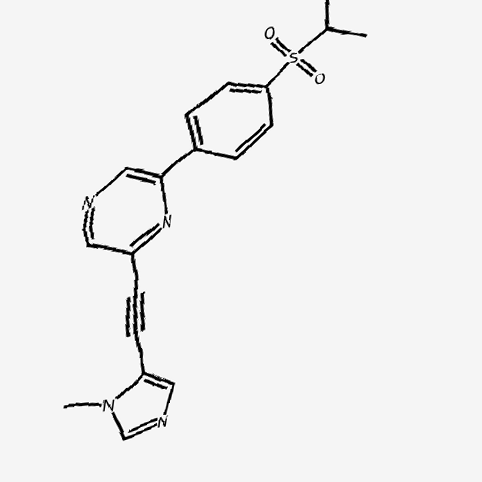 CC(C)S(=O)(=O)c1ccc(-c2cncc(C#Cc3cncn3C)n2)cc1